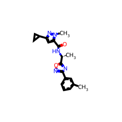 Cc1cccc(-c2noc([C@@H](C)NC(=O)c3cc(C4CC4)nn3C)n2)c1